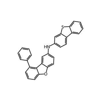 c1ccc(-c2cccc3oc4ccc(Nc5ccc6c(c5)sc5ccccc56)cc4c23)cc1